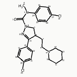 CN(C(=O)N1CC(CCN2CCCCC2)C(c2ccc(Cl)cc2)=N1)c1ccc(Cl)cc1